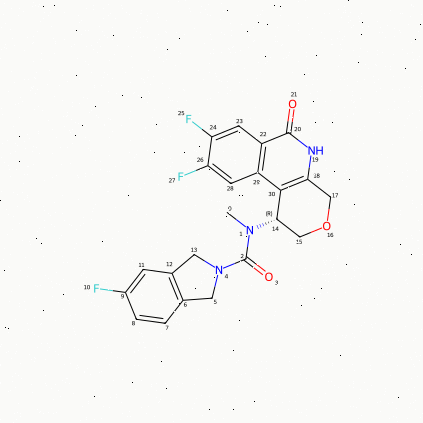 CN(C(=O)N1Cc2ccc(F)cc2C1)[C@H]1COCc2[nH]c(=O)c3cc(F)c(F)cc3c21